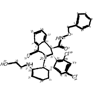 O=C(NOCc1ccccc1)[C@@H]1c2ccccc2C(=O)N([C@H]2CCCC[C@@H]2NCCO)[C@H]1c1ccc(Cl)cc1Cl